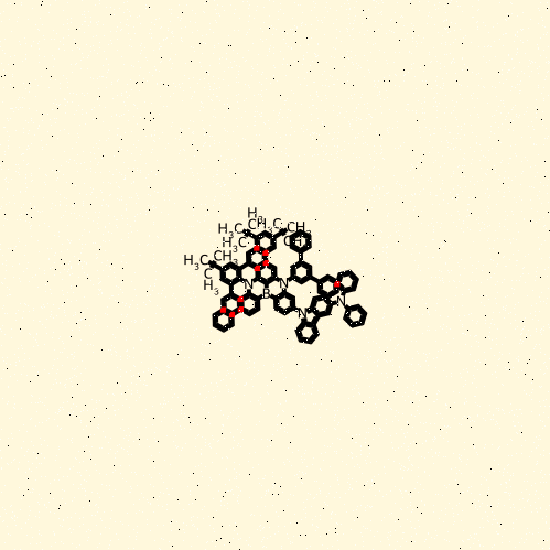 CC(C)(C)c1cc(-c2cc3c4c(c2)N(c2c(-c5ccccc5)cc(C(C)(C)C)cc2-c2ccccc2)c2cc(-c5ccccc5)ccc2B4c2ccc(-n4c5ccccc5c5cc(N(c6ccccc6)c6ccccc6)ccc54)cc2N3c2cc(-c3ccccc3)cc(-c3ccccc3)c2)cc(C(C)(C)C)c1